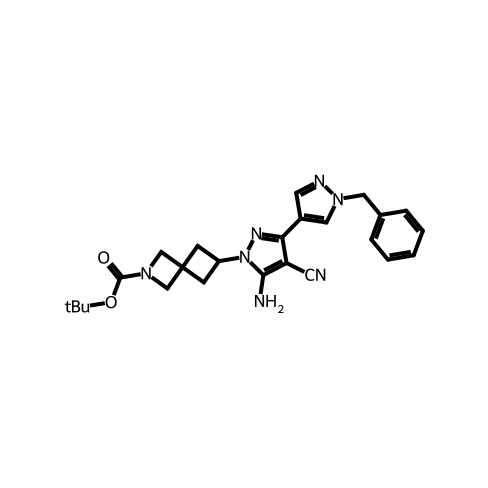 CC(C)(C)OC(=O)N1CC2(CC(n3nc(-c4cnn(Cc5ccccc5)c4)c(C#N)c3N)C2)C1